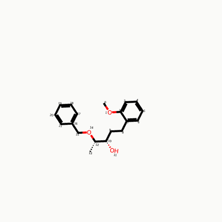 COc1ccccc1CC[C@H](O)[C@H](C)OCc1ccccc1